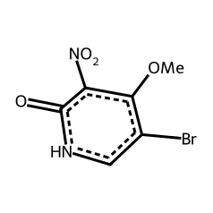 COc1c(Br)c[nH]c(=O)c1[N+](=O)[O-]